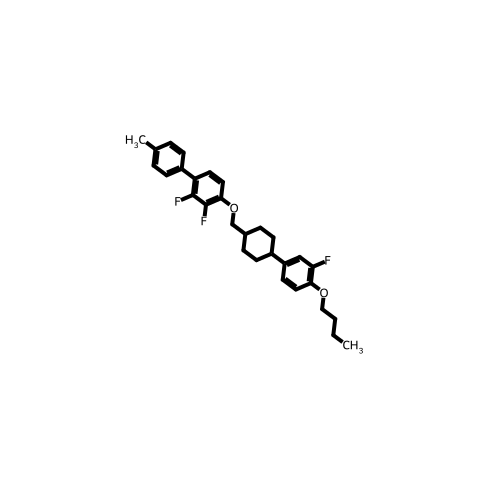 CCCCOc1ccc(C2CCC(COc3ccc(-c4ccc(C)cc4)c(F)c3F)CC2)cc1F